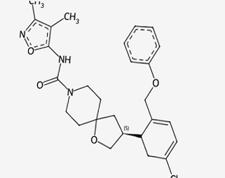 Cc1noc(NC(=O)N2CCC3(CC2)C[C@@H](C2CC(Cl)=CC=C2COc2ccccc2)CO3)c1C